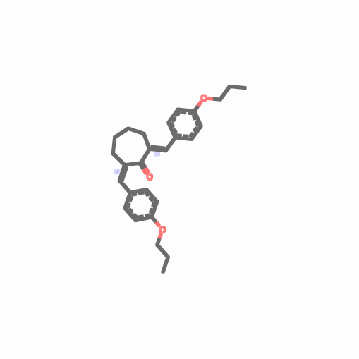 CCCOc1ccc(/C=C2/CCCC/C(=C\c3ccc(OCCC)cc3)C2=O)cc1